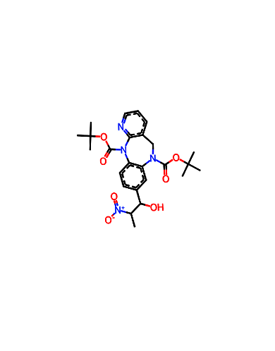 CC(C(O)c1ccc2c(c1)N(C(=O)OC(C)(C)C)Cc1cccnc1N2C(=O)OC(C)(C)C)[N+](=O)[O-]